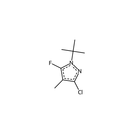 Cc1c(Cl)nn(C(C)(C)C)c1F